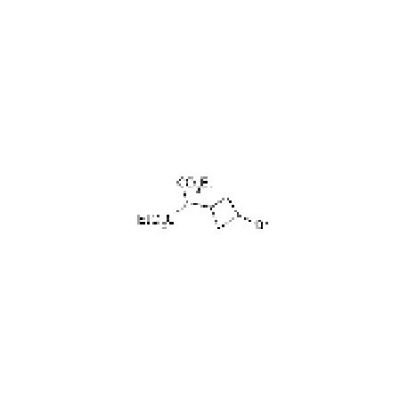 CCOC(=O)C(C(=O)OCC)C1CC(Br)C1